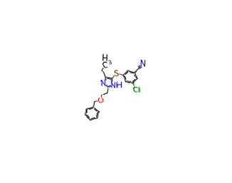 CCc1nc(CCOCc2ccccc2)[nH]c1Sc1cc(Cl)cc(C#N)c1